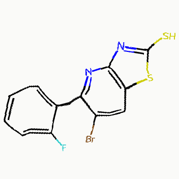 Fc1ccccc1-c1nc2nc(S)sc2cc1Br